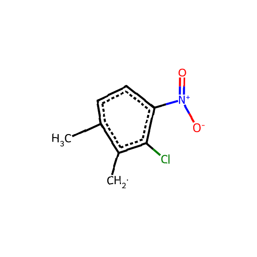 [CH2]c1c(C)ccc([N+](=O)[O-])c1Cl